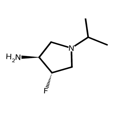 CC(C)N1C[C@H](N)[C@@H](F)C1